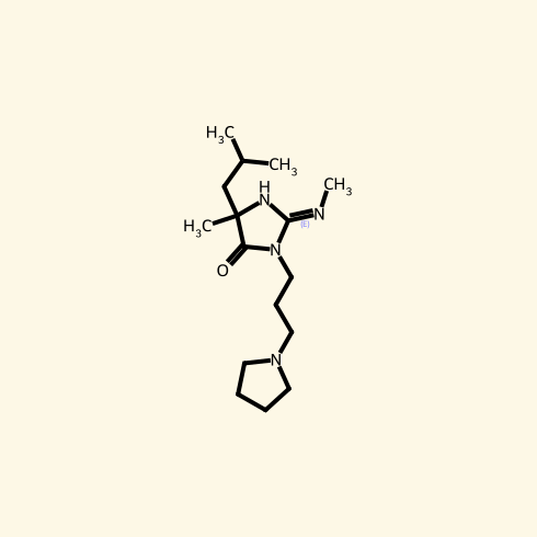 C/N=C1\NC(C)(CC(C)C)C(=O)N1CCCN1CCCC1